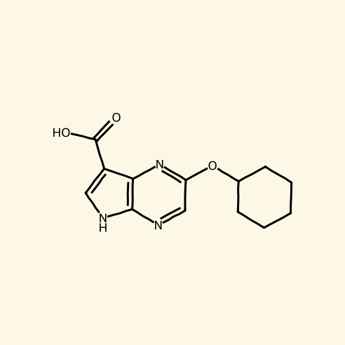 O=C(O)c1c[nH]c2ncc(OC3CCCCC3)nc12